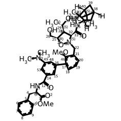 COC(=O)[C@@H](Cc1ccccc1)NC(=O)c1cc(-c2cccc(CN3O[C@@H](CO)[C@@H]([C@H](C)O)[C@H]3C(=O)N[C@H]3C[C@H]4C[C@@H]([C@@H]3C)C4(C)C)c2OC)cc(N(C)C)c1